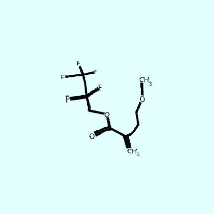 C=C(CCOC)C(=O)OCC(F)(F)C(F)(F)F